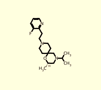 CC(C)N1C[C@H](C)OC2(CCN(CCc3ncccc3F)CC2)C1